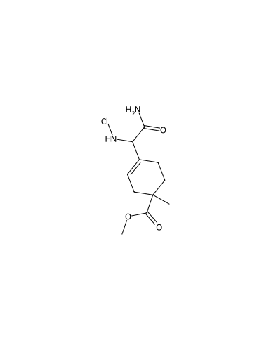 COC(=O)C1(C)CC=C(C(NCl)C(N)=O)CC1